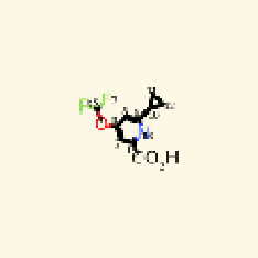 O=C(O)c1cc(OC(F)F)cc(C2CC2)n1